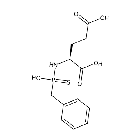 O=C(O)CC[C@H](NP(O)(=S)Cc1ccccc1)C(=O)O